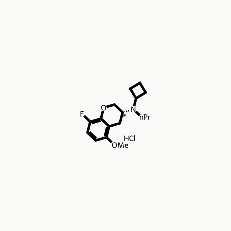 CCCN(C1CCC1)[C@H]1COc2c(F)ccc(OC)c2C1.Cl